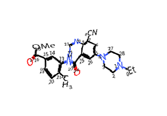 CCN1CCN(c2cc(C#N)c3ncn(-c4cc(C(=O)OC)ccc4C)c(=O)c3c2)CC1